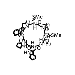 CC[C@H](C)[C@@H]1NC(=O)[C@H](Cc2c[nH]c3ccccc23)NC(=O)[C@H](Cc2ccccc2)NC(=O)[C@H](Cc2ccccc2)NC(=O)[C@@H]2CCCN2C(=O)[C@H](CCSC)NC(=O)[C@H](CC(C)C)NC(=O)[C@H](CCSC)NC1=O